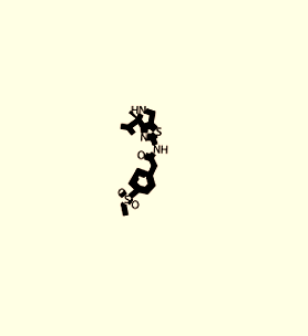 CCS(=O)(=O)c1ccc(CC(=O)Nc2nc3c(s2)CN[C@@]3(C)C(C)C)cc1